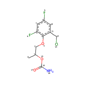 CC(COc1c(F)cc(F)cc1CCl)OC(N)=O